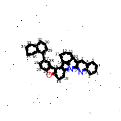 c1ccc2nc3c(cc2c1)c1cccc2c4c5c(ccc4n3c12)oc1ccc(-c2cccc3ccccc23)cc15